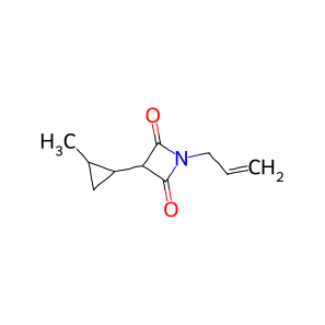 C=CCN1C(=O)C(C2CC2C)C1=O